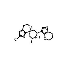 C[C@H]1C[C@@]2(C[C@@H](c3cnn4c3OCCC4)N1)OCCc1cc(Cl)sc12